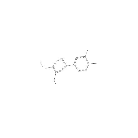 COc1ncc(-c2ccc(F)c(C)c2)cc1CCl